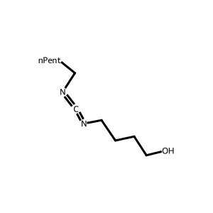 CCCCCCN=C=NCCCCO